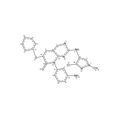 Cn1cc(Nc2ncc3cc(Oc4ccccc4)c(=O)n(-c4cccc(N)c4)c3n2)c(Cl)n1